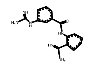 N=C(N)Nc1cccc(C(=O)Nc2ccccc2C(=N)N)c1